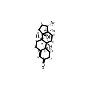 CC(=O)[C@H]1CCC2(O)[C@@H]3CCC4=CC(=O)CC[C@]4(C)[C@H]3CC[C@]12C